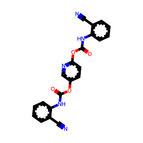 N#Cc1ccccc1NC(=O)Oc1ccc(OC(=O)Nc2ccccc2C#N)nc1